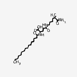 CCCCCCCCCCCCCCCC(=O)NC(CCC(=O)NCCCCC(C)C(N)=O)C(=O)O